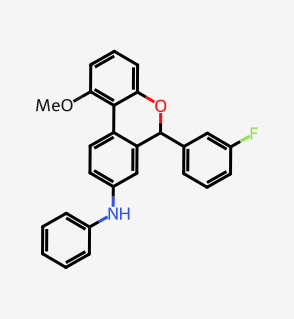 COc1cccc2c1-c1ccc(Nc3ccccc3)cc1C(c1cccc(F)c1)O2